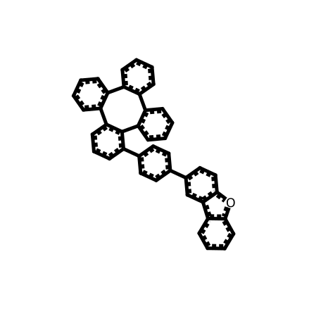 c1ccc2c(c1)-c1ccccc1-c1cccc(-c3ccc(-c4ccc5oc6ccccc6c5c4)cc3)c1-c1ccccc1-2